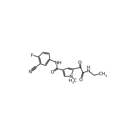 CCNC(=O)C(=O)c1cc(C(=O)Nc2ccc(F)c(C#N)c2)cn1C